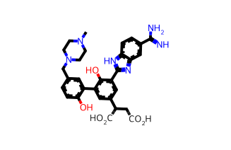 CN1CCN(Cc2ccc(O)c(-c3cc(C(CC(=O)O)C(=O)O)cc(-c4nc5cc(C(=N)N)ccc5[nH]4)c3O)c2)CC1